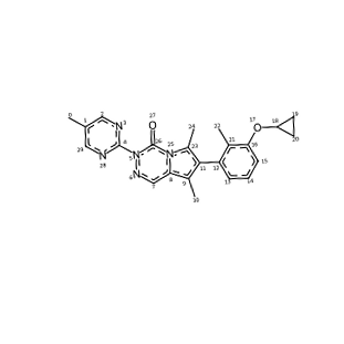 Cc1cnc(-n2ncc3c(C)c(-c4cccc(OC5CC5)c4C)c(C)n3c2=O)nc1